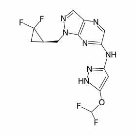 FC(F)Oc1cc(Nc2cnc3cnn(C[C@H]4CC4(F)F)c3n2)n[nH]1